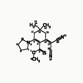 COC(=S)C1=C(N2CCCC2)CC(C)(C)CC1=C(C#N)C#N